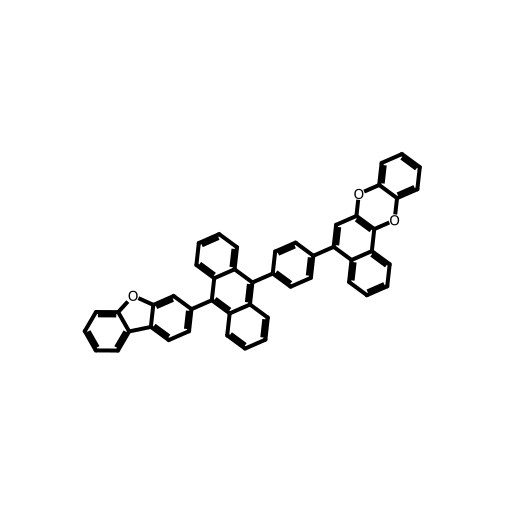 c1ccc2c(c1)Oc1cc(-c3ccc(-c4c5ccccc5c(-c5ccc6c(c5)oc5ccccc56)c5ccccc45)cc3)c3ccccc3c1O2